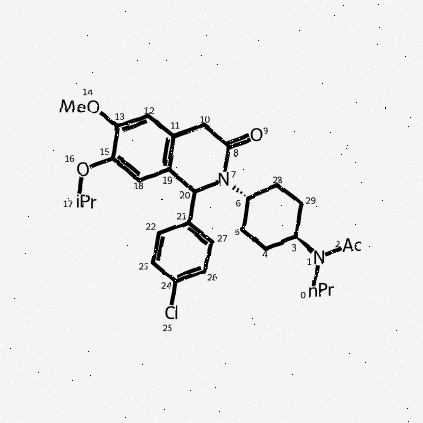 CCCN(C(C)=O)[C@H]1CC[C@H](N2C(=O)Cc3cc(OC)c(OC(C)C)cc3C2c2ccc(Cl)cc2)CC1